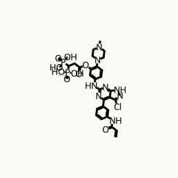 C=CC(=O)Nc1cccc(-c2nc(Nc3ccc(N4CCN(C)CC4)c(OC(=O)CC(P(=O)(O)O)P(=O)(O)O)c3)nc3[nH]nc(Cl)c23)c1